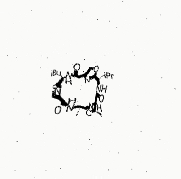 CC[C@H](C)[C@H]1NC(=O)c2coc(n2)[C@H](C(C)C)NC(=O)[C@H]2N=C(O[C@@H]2C)[C@H](C)NC(=O)c2csc1n2